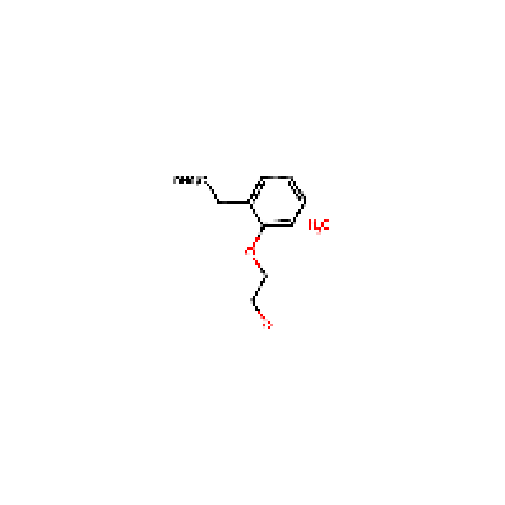 CCCCCCCCc1ccccc1OCC[O].O